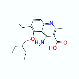 CCc1ccc2nc(C)c(C(=O)O)c(N)c2c1OCC(CC)CC